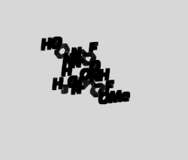 COc1ccc([C@H](NC(=O)Oc2cc(F)c3cnc(N[C@H]4CC[C@H](O)CC4)nc3c2)c2cnn(C)c2)cc1F